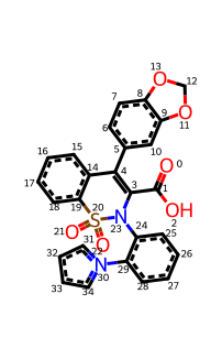 O=C(O)C1=C(c2ccc3c(c2)OCO3)c2ccccc2S(=O)(=O)N1c1ccccc1-n1cccc1